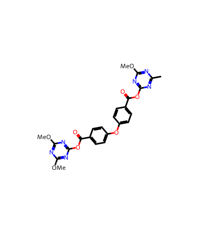 COc1nc(C)nc(OC(=O)c2ccc(Oc3ccc(C(=O)Oc4nc(OC)nc(OC)n4)cc3)cc2)n1